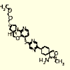 COCOC[C@H]1C[C@H]2COc3c(Sc4cnc(C5CCC6(CC5)CO[C@@H](C)[C@H]6N)cn4)ccnc3N2C1